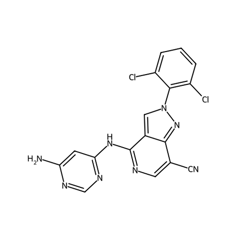 N#Cc1cnc(Nc2cc(N)ncn2)c2cn(-c3c(Cl)cccc3Cl)nc12